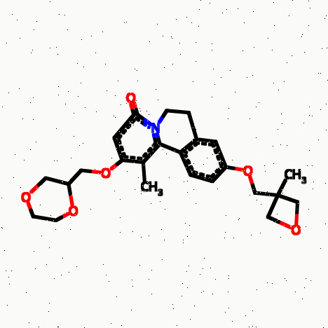 Cc1c(OCC2COCCO2)cc(=O)n2c1-c1ccc(OCC3(C)COC3)cc1CC2